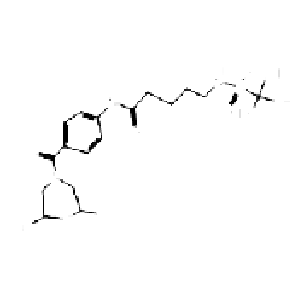 CC1CN(C(=O)c2ccc(NC(=O)CCCCNS(=O)(=O)C(C)(C)C)cc2)CC(C)O1